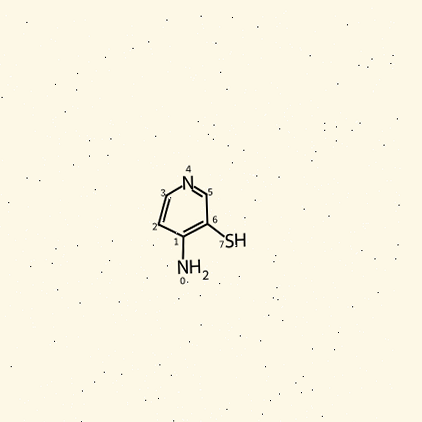 Nc1ccncc1S